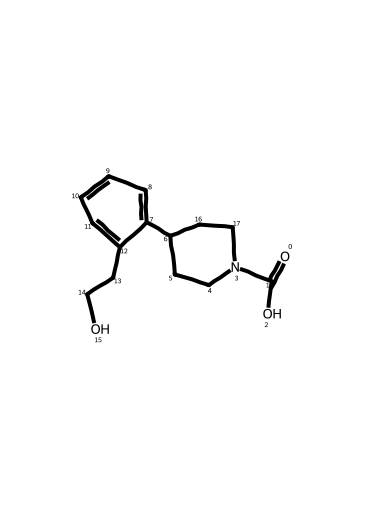 O=C(O)N1CCC(c2ccccc2CCO)CC1